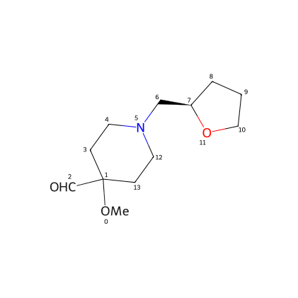 COC1(C=O)CCN(C[C@H]2CCCO2)CC1